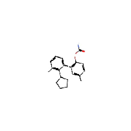 Cc1ccc(OC(N)=O)c(-c2cccc(C(F)(F)F)c2C2CCCC2)c1